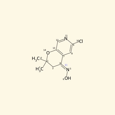 CC1(C)C/C(=N\O)c2cc(Cl)ncc2O1